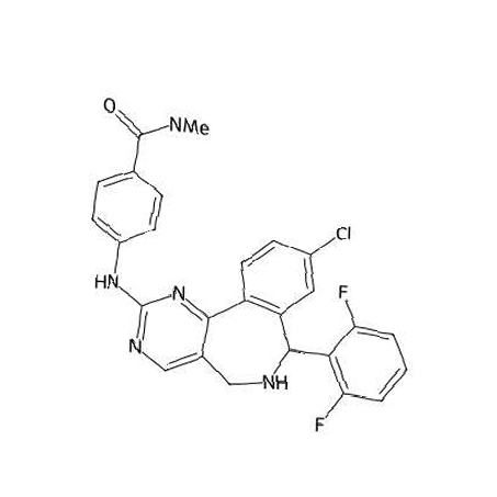 CNC(=O)c1ccc(Nc2ncc3c(n2)-c2ccc(Cl)cc2C(c2c(F)cccc2F)NC3)cc1